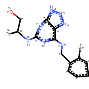 CC(=O)c1ccccc1CNc1nc(NC(CO)C(C)C)nc2[nH]nnc12